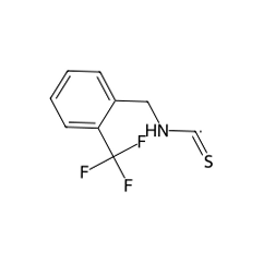 FC(F)(F)c1ccccc1CN[C]=S